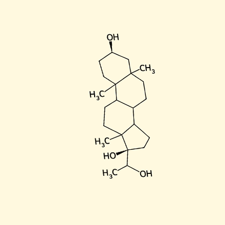 CC(O)[C@@]1(O)CCC2C3CCC4(C)C[C@H](O)CCC4(C)C3CCC21C